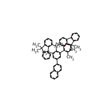 Cc1cccc(C)c1-c1cc(-c2ccc3ccccc3c2)cc(C)c1N(c1ccc2c(c1)C(C)(C)c1ccccc1-2)c1cccc2c1-c1ccccc1C2(C)C